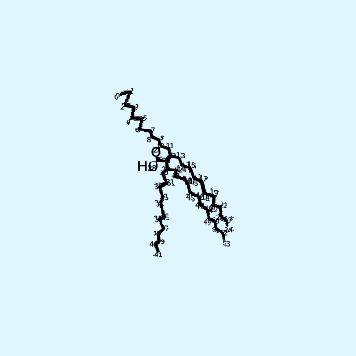 CCCCCCCCCCCCC(CCCCCCCCCCCC)=C(C(=O)O)C(CCCCCCCCCCCC)CCCCCCCCCCCC